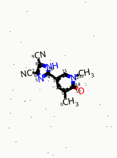 Cc1cc(-c2nc(C#N)c(C#N)[nH]2)cn(C)c1=O